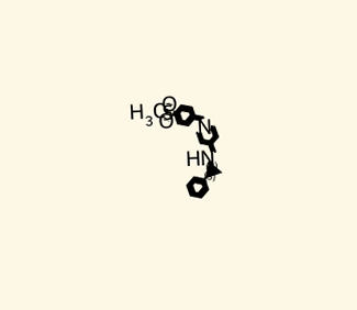 CS(=O)(=O)c1ccc(CN2CCC(CN[C@@H]3C[C@H]3c3ccccc3)CC2)cc1